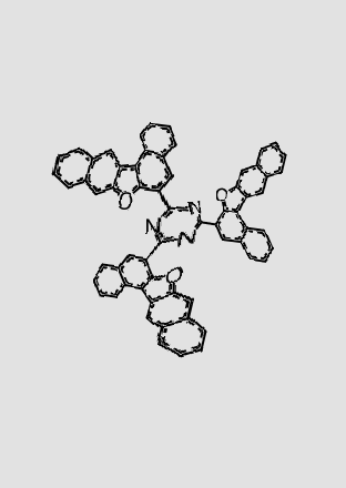 c1ccc2cc3c(cc2c1)oc1c(-c2nc(-c4cc5ccccc5c5c4oc4cc6ccccc6cc45)nc(-c4cc5ccccc5c5c4oc4cc6ccccc6cc45)n2)cc2ccccc2c13